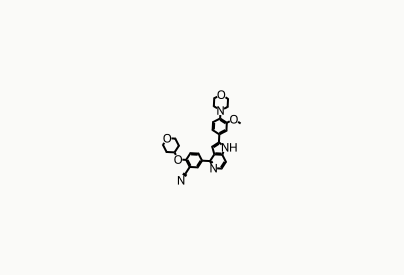 COc1cc(-c2cc3c(-c4ccc(OC5CCOCC5)c(C#N)c4)nccc3[nH]2)ccc1N1CCOCC1